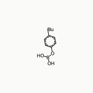 CCC(C)c1ccc(OB(O)O)cc1